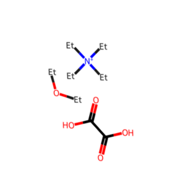 CCOCC.CC[N+](CC)(CC)CC.O=C(O)C(=O)O